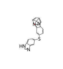 c1cc2cc(c1)C21N=c2ccc(Sc3ccc4[nH]cnc4c3)cc2=N1